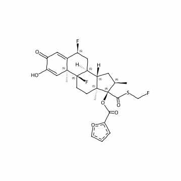 C[C@@H]1C[C@H]2[C@@H]3C[C@H](F)C4=CC(=O)C(O)=C[C@]4(C)[C@@]3(F)CC[C@]2(C)[C@@]1(OC(=O)c1ccco1)C(=O)SCF